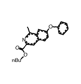 CCCCOC(=O)c1cc2ccc(Oc3ccccc3)cc2c(C)n1